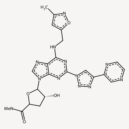 CNC(=O)C1C[C@@H](O)C(n2cnc3c(NCc4cc(C)no4)nc(-n4cc(-c5cnccn5)nn4)nc32)O1